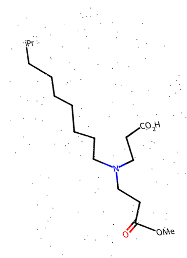 COC(=O)CCN(CCCCCCCC(C)C)CCC(=O)O